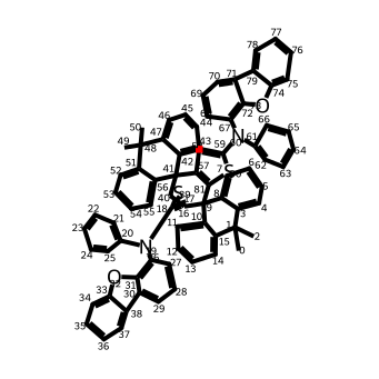 CC1(C)c2ccccc2C2(c3ccccc31)c1cc(N(c3ccccc3)c3cccc4c3oc3ccccc34)sc1C1(c3ccccc3C(C)(C)c3ccccc31)c1cc(N(c3ccccc3)c3cccc4c3oc3ccccc34)sc12